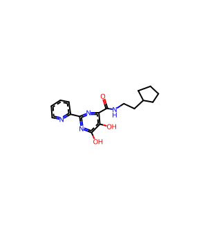 O=C(NCCC1CCCC1)c1nc(-c2ccccn2)nc(O)c1O